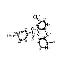 Cc1ncccc1Oc1ncc(Cl)cc1NS(=O)(=O)c1ccc(C(C)(C)C)cc1